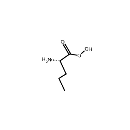 CCC[C@H](N)C(=O)OO